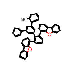 N#Cc1ccccc1-c1cc(-c2ccccc2)cc(-c2c(-c3cccc4c3oc3ccccc34)cccc2-c2cccc3c2oc2ccccc23)c1